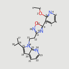 CCOc1ncccc1-c1nc(CCn2c(C(C)C)cc3cccnc32)no1